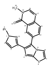 CC(C)n1ccc(-c2nc3sccn3c2-c2ccc3ncn(C)c(=O)c3c2)n1